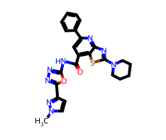 Cn1ccc(-c2nnc(NC(=O)c3cc(-c4ccccc4)nc4nc(N5CCCCC5)sc34)o2)n1